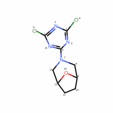 Clc1nc(Cl)nc(N2CC3CCC(C2)O3)n1